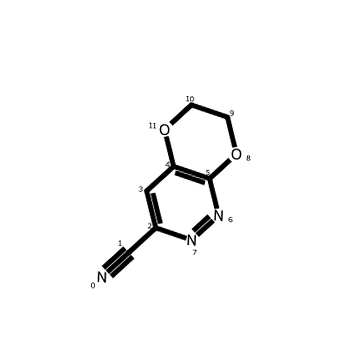 N#Cc1cc2c(nn1)OCCO2